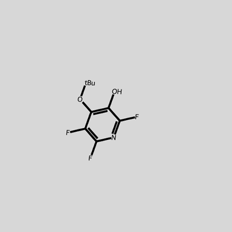 CC(C)(C)Oc1c(O)c(F)nc(F)c1F